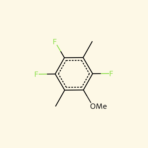 COc1c(C)c(F)c(F)c(C)c1F